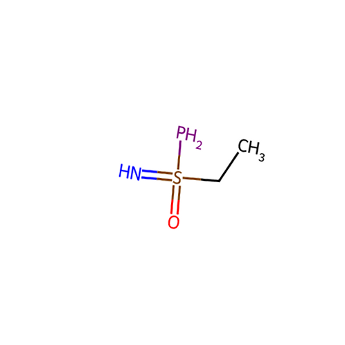 CCS(=N)(=O)P